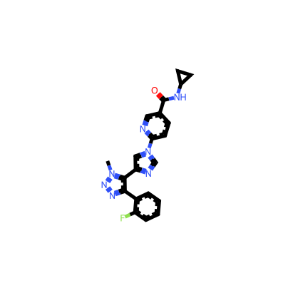 Cn1nnc(-c2ccccc2F)c1-c1cn(-c2ccc(C(=O)NC3CC3)cn2)cn1